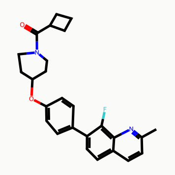 Cc1ccc2ccc(-c3ccc(OC4CCN(C(=O)C5CCC5)CC4)cc3)c(F)c2n1